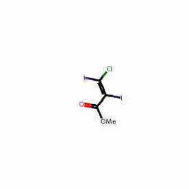 COC(=O)C(I)=C(Cl)I